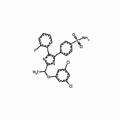 CC(Oc1cc(Cl)cc(Cl)c1)c1nc(-c2ccccc2F)c(-c2ccc(S(N)(=O)=O)cc2)s1